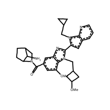 COc1cc(C(=O)N2CC3CCC2C3N)cc2nc(-c3cc4cccnc4n3CC3CC3)n(CC3CC(OC)C3)c12